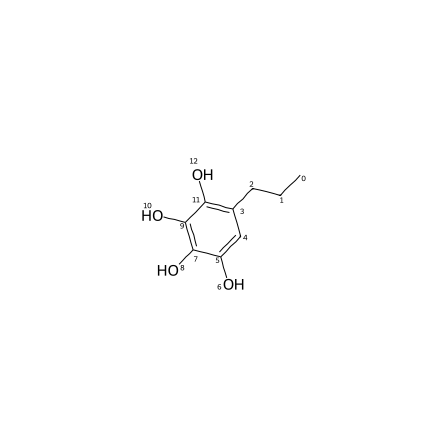 CCCc1cc(O)c(O)c(O)c1O